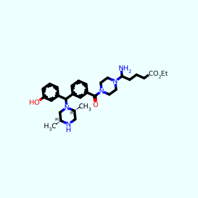 CCOC(=O)CCCC(N)N1CCN(C(=O)c2cccc(C(c3cccc(O)c3)N3C[C@@H](C)NC[C@H]3C)c2)CC1